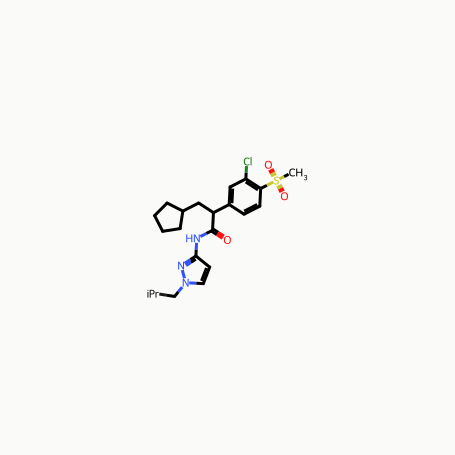 CC(C)Cn1ccc(NC(=O)C(CC2CCCC2)c2ccc(S(C)(=O)=O)c(Cl)c2)n1